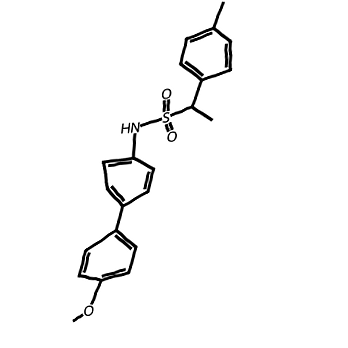 COc1ccc(-c2ccc(NS(=O)(=O)C(C)c3ccc(C)cc3)cc2)cc1